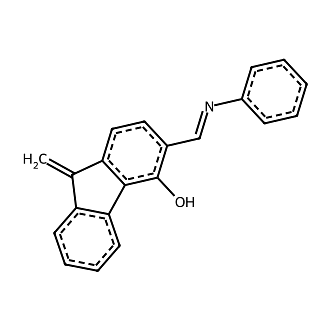 C=C1c2ccccc2-c2c1ccc(/C=N/c1ccccc1)c2O